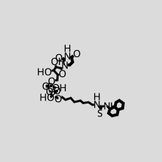 O=c1ccn(C2OC(COP(=O)(O)OP(=O)(O)OCCCCCCCCNC(=S)Nc3cccc4ccccc34)C(O)C2O)c(=O)[nH]1